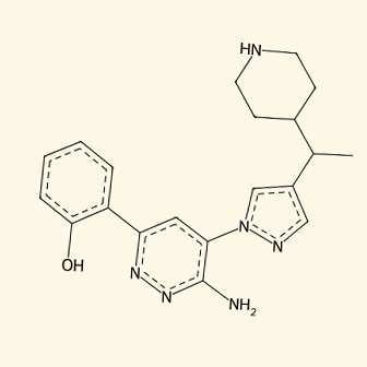 CC(c1cnn(-c2cc(-c3ccccc3O)nnc2N)c1)C1CCNCC1